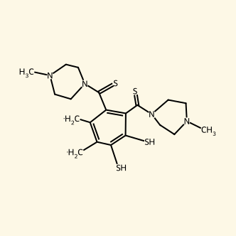 [CH2]c1c([CH2])c(C(=S)N2CCN(C)CC2)c(C(=S)N2CCN(C)CC2)c(S)c1S